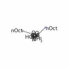 CCCCCCCCC=CCCCCCCCC(=O)OCC(C[N+](C)(C)CB(O)O)OC(=O)CCCCCCC/C=C\CCCCCCCC.[Br-]